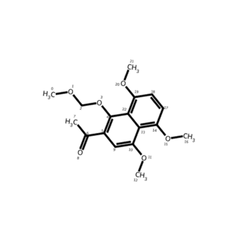 COCOc1c(C(C)=O)cc(OC)c2c(OC)ccc(OC)c12